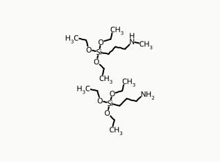 CCO[Si](CCCN)(OCC)OCC.CCO[Si](CCCNC)(OCC)OCC